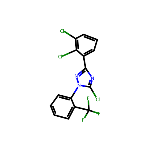 FC(F)(F)c1ccccc1-n1nc(-c2cccc(Cl)c2Cl)nc1Cl